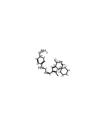 Cc1c(/C=N\CNC2=CCC(SN)C=C2)cc2n1C1(C=NC2C)CCCCC1